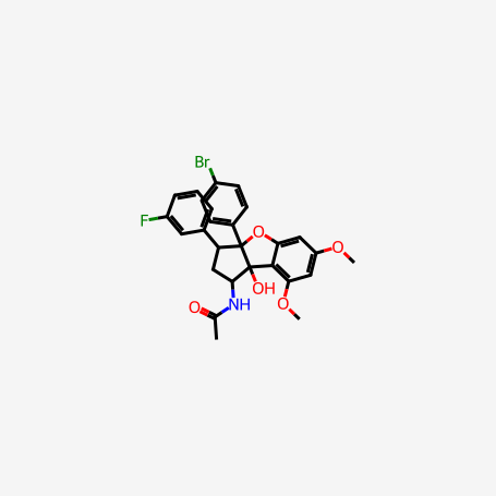 COc1cc(OC)c2c(c1)OC1(c3ccc(Br)cc3)C(c3cccc(F)c3)CC(NC(C)=O)C21O